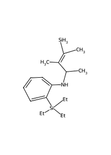 CC[Si](CC)(CC)c1ccccc1NC(C)C(C)=C(C)[SiH3]